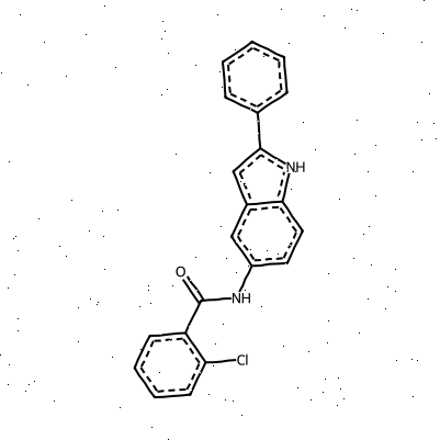 O=C(Nc1ccc2[nH]c(-c3ccccc3)cc2c1)c1ccccc1Cl